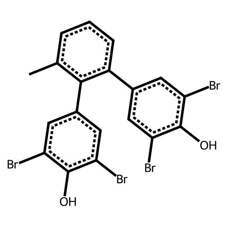 Cc1cccc(-c2cc(Br)c(O)c(Br)c2)c1-c1cc(Br)c(O)c(Br)c1